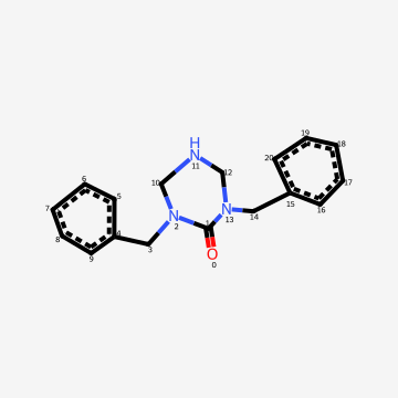 O=C1N(Cc2ccccc2)CNCN1Cc1ccccc1